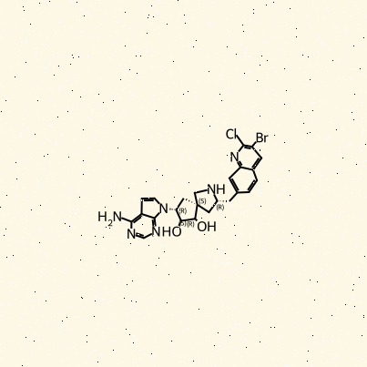 Nc1ncnc2c1ccn2[C@@H]1C[C@@]2(CN[C@H](Cc3ccc4cc(Br)c(Cl)nc4c3)C2)[C@@H](O)[C@H]1O